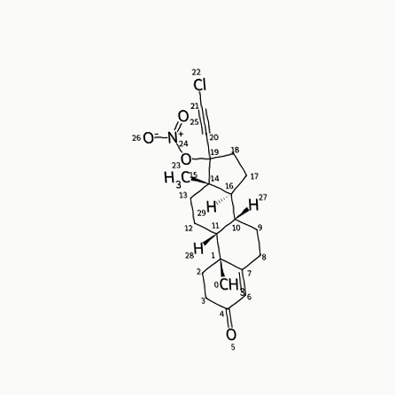 C[C@]12CCC(=O)C=C1CC[C@@H]1[C@H]2CC[C@@]2(C)[C@H]1CCC2(C#CCl)O[N+](=O)[O-]